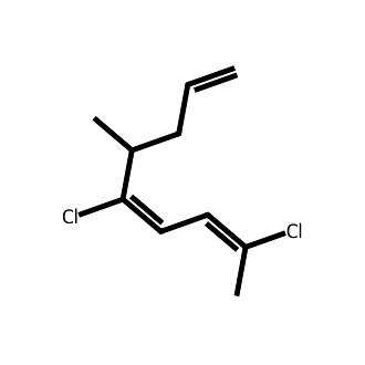 C=CCC(C)/C(Cl)=C\C=C(/C)Cl